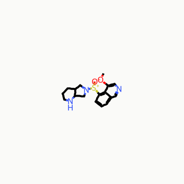 COc1cncc2cccc([S+]([O-])N3CC4CCCNC4C3)c12